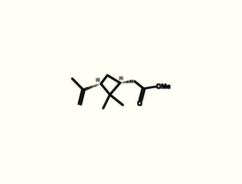 C=C(C)[C@@H]1C[C@H](CC(=O)OC)C1(C)C